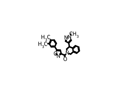 Cc1ccc(-c2cc(C(=O)N3Cc4ccccc4C(c4cnn(C)c4)C3)no2)cc1C